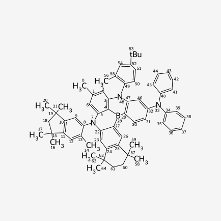 Cc1cc2c3c(c1)N(c1cc4c(cc1C)C(C)(C)CC4(C)C)c1cc4c(cc1B3c1ccc(N(c3ccccc3)c3ccccc3)cc1N2c1ccc(C(C)(C)C)cc1C)C(C)(C)CCC4(C)C